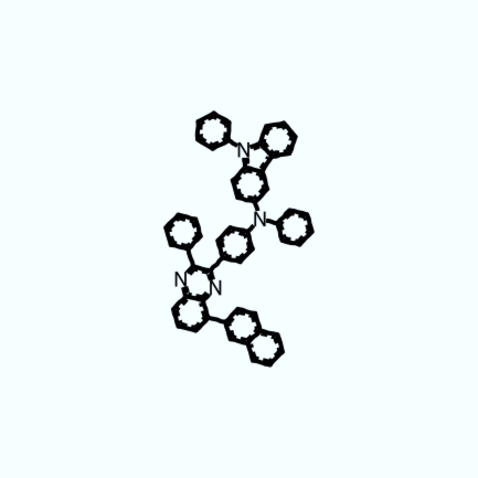 c1ccc(-c2nc3cccc(-c4ccc5ccccc5c4)c3nc2-c2ccc(N(c3ccccc3)c3ccc4c(c3)c3ccccc3n4-c3ccccc3)cc2)cc1